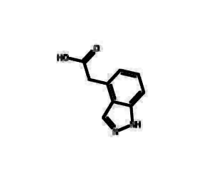 O=C(O)Cc1cccc2[nH]ncc12